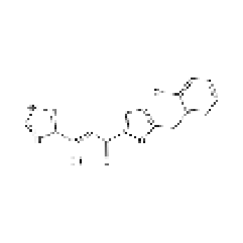 O=C(C=C(O)c1nc[nH]n1)c1ccc(Cc2ccccc2Cl)o1